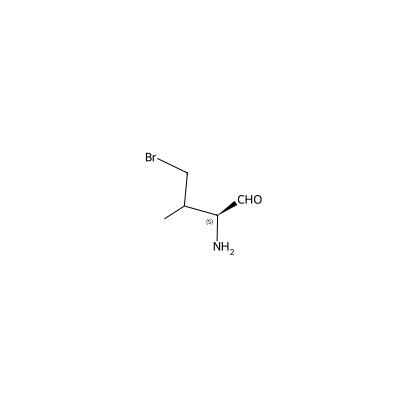 CC(CBr)[C@H](N)C=O